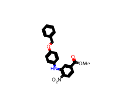 COC(=O)c1ccc([N+](=O)[O-])c(Nc2ccc(OCc3ccccc3)cc2)c1